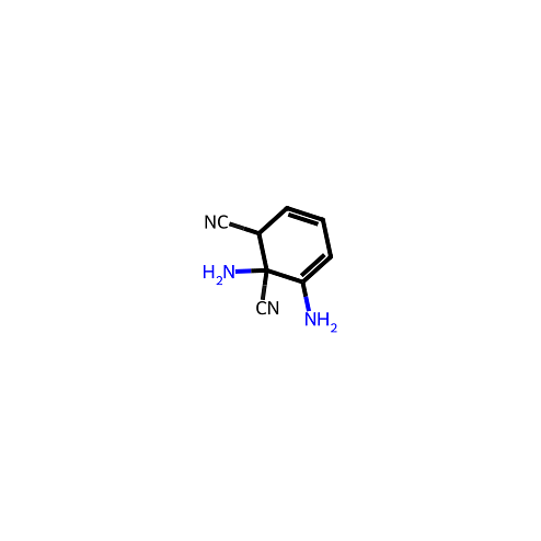 N#CC1C=CC=C(N)C1(N)C#N